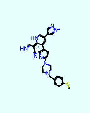 CSc1ccc(CN2CCN(c3ccc(C4=CC(c5cnn(C)c5)=CN/C4=C(/C#N)C=N)cn3)CC2)cc1